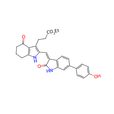 CCOC(=O)CCc1c(C=C2C(=O)Nc3cc(-c4ccc(O)cc4)ccc32)[nH]c2c1C(=O)CCC2